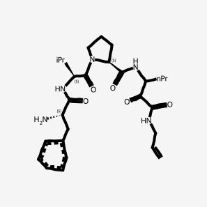 C=CCNC(=O)C(=O)C(CCC)NC(=O)[C@@H]1CCCN1C(=O)[C@@H](NC(=O)[C@@H](N)Cc1ccccc1)C(C)C